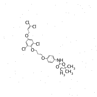 CC(C)(C)OC(=O)Nc1ccc(OCCCOc2c(Cl)cc(OCC=C(Cl)Cl)cc2Cl)cc1